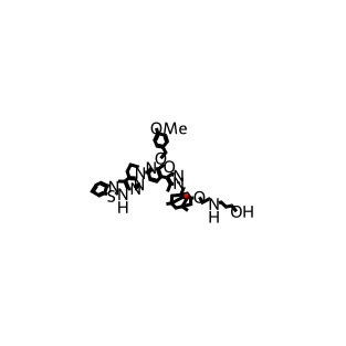 COc1ccc(COC(=O)c2nc(N3CCCc4c3nnc(Nc3nc5ccccc5s3)c4C)ccc2-c2cnn(CC34CC5(C)CC(C)(C3)CC(OCCNCCCO)(C5)C4)c2C)cc1